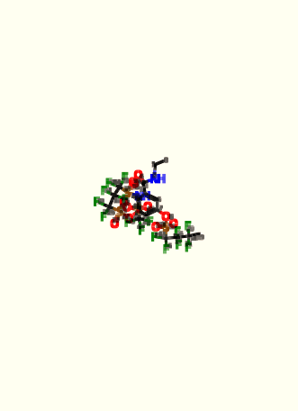 CCNC(=O)c1cc(OS(=O)(=O)C(F)(F)C(F)(F)C(C)(F)F)cc(OS(=O)(=O)C(F)(F)C(F)(F)C(F)(F)S(=O)(=O)NS(=O)(=O)C(F)(F)F)c1